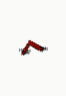 CCN1CCOC(C)C1.CCN1CCOC(C)C1.CCN1CCOC(C)C1.CCN1CCOC(C)C1.CCN1CCOC(C)C1.CCN1CCOC(C)C1.CCN1CCOC(C)C1.CCN1CCOC(C)C1.N#CB(O)O.N#CB(O)O.N#CB(O)O.N#CB(O)O